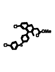 COC(=O)Cc1cc2ccc(Cl)cc2c(-c2ccc(Sc3ccc(Cl)cc3)cc2)c1C